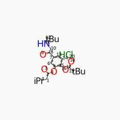 CC(C)CC(=O)Oc1cc(C(=O)CNC(C)(C)C)ccc1OC(=O)C(C)(C)C.Cl